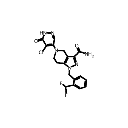 NC(=O)c1nn(Cc2ccccc2C(F)F)c2c1CN(c1cn[nH]c(=O)c1Cl)CC2